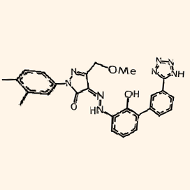 COCC1=NN(c2ccc(C)c(C)c2)C(=O)C1=NNc1cccc(-c2cccc(-c3nnn[nH]3)c2)c1O